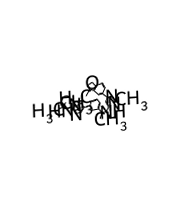 Cc1nc(NC(C)c2cccc(-c3cnc(NC(C)C)nc3)c2)cc(-c2ccc3occ(C)c3c2)n1